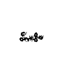 c1cncc(-n2c3ccccc3c3ccc(-c4nnc(-c5cccc6c5c5ccccc5n6-c5cccnc5)o4)cc32)c1